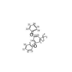 CC(C)(C)c1cc(Oc2ccccc2)[c]c(Oc2ccccc2)c1